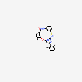 Cc1ccc2cc1Oc1cc(-c3c(C)cccc3C)nc(n1)NSc1cccc(c1)NC2=O